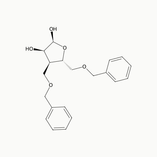 O[C@@H]1[C@H](COCc2ccccc2)[C@@H](COCc2ccccc2)O[C@@H]1O